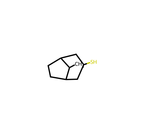 CC1C2CCC1CC(S)C2